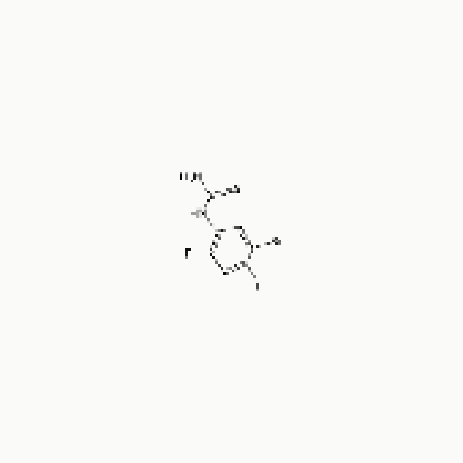 NC(=S)Nc1cc(Br)c(F)cc1F